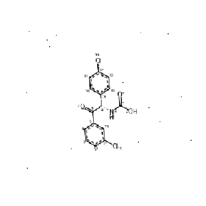 O=C(O)N[C@H](C(=O)c1cccc(Cl)c1)c1ccc(Cl)cc1